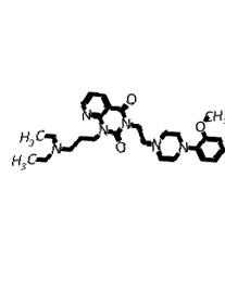 CCN(CC)CCCn1c(=O)n(CCN2CCN(c3ccccc3OC)CC2)c(=O)c2cccnc21